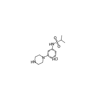 CC(C)S(=O)(=O)Nc1cccc(N2CCNCC2)c1.Cl